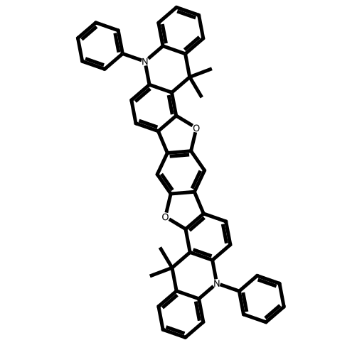 CC1(C)c2ccccc2N(c2ccccc2)c2ccc3c(oc4cc5c(cc43)oc3c4c(ccc35)N(c3ccccc3)c3ccccc3C4(C)C)c21